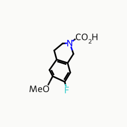 COc1cc2c(cc1F)CN(C(=O)O)CC2